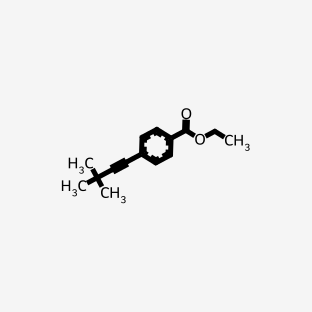 CCOC(=O)c1ccc(C#CC(C)(C)C)cc1